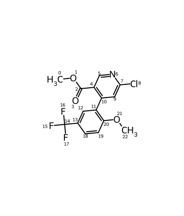 COC(=O)c1cnc(Cl)cc1-c1cc(C(F)(F)F)ccc1OC